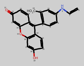 C=CNc1ccc(-c2c3ccc(=O)cc-3oc3cc(O)ccc23)c(C(=O)O)c1